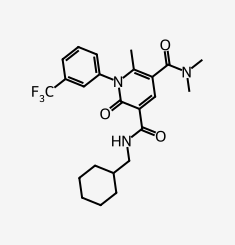 Cc1c(C(=O)N(C)C)cc(C(=O)NCC2CCCCC2)c(=O)n1-c1cccc(C(F)(F)F)c1